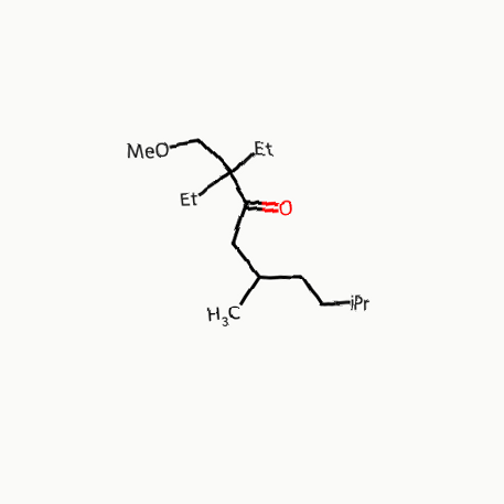 CCC(CC)(COC)C(=O)CC(C)CCC(C)C